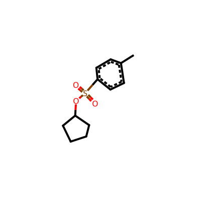 Cc1ccc(S(=O)(=O)OC2CCCC2)cc1